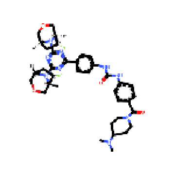 CN(C)C1CCN(C(=O)c2ccc(NC(=O)Nc3ccc(-c4nc(N5[C@@H]6COC[C@H]5[C@H](F)C6)nc(N5[C@@H]6COC[C@H]5[C@H](F)C6)n4)cc3)cc2)CC1